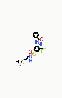 CCCCNC(=O)Sc1ccc(NNC(=O)c2ccccc2)c(C(F)(F)F)c1